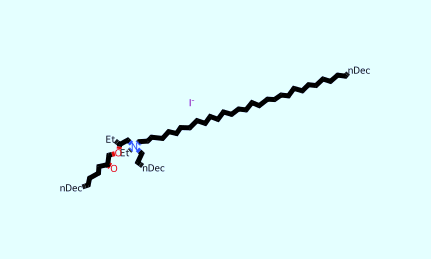 CCCCCCCCCCCCCCCCCCCCCCCCCCCCCCCCCCCCCCCC[N+](CC)(CCCCCCCCCCCC)CC(CC)OCC(=O)CCCCCCCCCCCCCC.[I-]